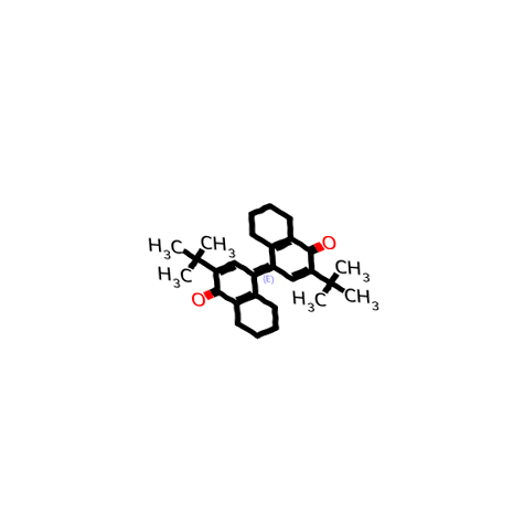 CC(C)(C)C1=C/C(=C2/C=C(C(C)(C)C)C(=O)C3=C2CCCC3)C2=C(CCCC2)C1=O